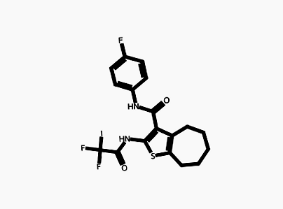 O=C(Nc1ccc(F)cc1)c1c(NC(=O)C(F)(F)I)sc2c1CCCCC2